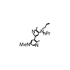 C=CCCN(CCC)c1cc(-c2cc(NC)cnc2C)cnc1C